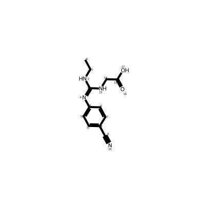 CCNC(=Nc1ccc(C#N)cc1)NCC(=O)O